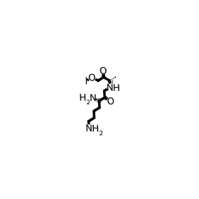 C[C@H](NCC(=O)[C@@H](N)CCCCN)C(=O)COI